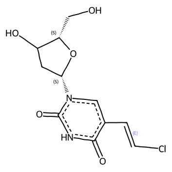 O=c1[nH]c(=O)n([C@@H]2CC(O)[C@H](CO)O2)cc1/C=C/Cl